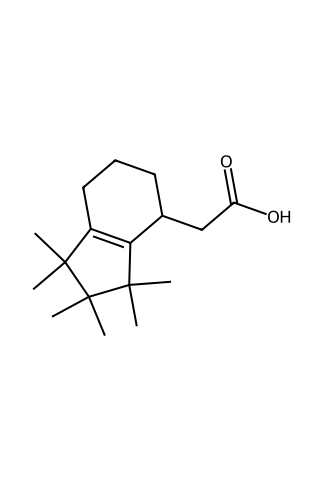 CC1(C)C2=C(C(CC(=O)O)CCC2)C(C)(C)C1(C)C